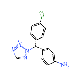 Nc1ccc(C(c2ccc(Cl)cc2)n2ncnn2)cc1